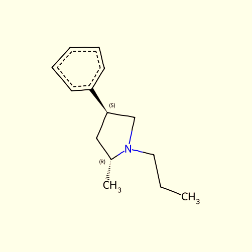 CCCN1C[C@H](c2ccccc2)C[C@H]1C